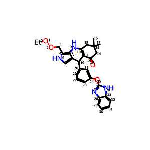 CCOOCc1[nH]cc2c1NC1=C(C(=O)CC(C)(C)C1)C2c1cccc(Oc2nc3ccccc3[nH]2)c1